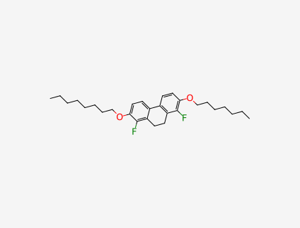 CCCCCCCCOc1ccc2c(c1F)CCc1c-2ccc(OCCCCCCC)c1F